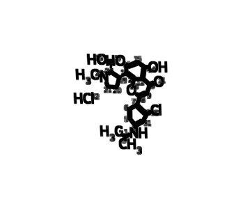 CC(C)Nc1ccc(-c2cc(=O)c3c(O)cc(O)c([C@H]4CCN(C)[C@@H]4CO)c3o2)c(Cl)c1.Cl